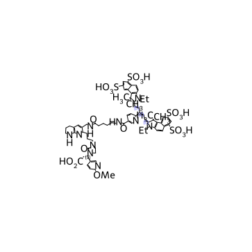 CCN1/C(=C/C=C(/C=C/C2N(CC)c3ccc4c(S(=O)(=O)O)cc(S(=O)(=O)O)cc4c3C2(C)C)c2ccc(C(=O)NCCCCCC(=O)NCc3cc4c(nc3CCCN3CCN([C@@H](CC(=O)O)c5ccc(OC)nc5)C3=O)NCCC4)cn2)C(C)(C)c2c1ccc1c(S(=O)(=O)O)cc(S(=O)(=O)O)cc21